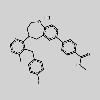 CNC(=O)c1ccc(-c2ccc3c(c2)CN(c2ncnc(C)c2Cc2ccc(F)cc2)CCO3)cc1.Cl